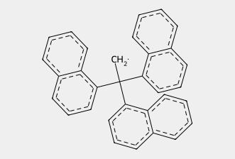 [CH2]C(c1cccc2ccccc12)(c1cccc2ccccc12)c1cccc2ccccc12